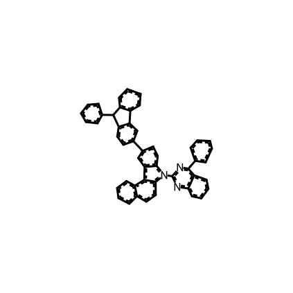 c1ccc(-c2nc(-n3c4ccc(-c5ccc6c(c5)-c5ccccc5C6c5ccccc5)cc4c4c5ccccc5ccc43)nc3ccccc23)cc1